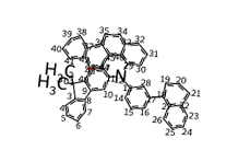 CC1(C)c2ccccc2-c2cc(N(c3cccc(-c4cccc5ccccc45)c3)c3cccc4ccc5c6ccccc6ccc5c34)ccc21